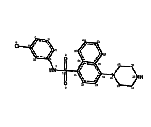 O=S(=O)(Nc1cccc(Cl)c1)c1ccc(N2CCNCC2)c2ccccc12